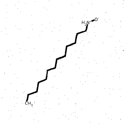 CCCCCCCCCCCCC[NH2+][O-]